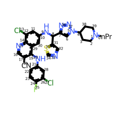 CCCN1CCC(n2cc(C(Nc3cc(Cl)c4ncc(C#N)c(Nc5ccc(F)c(Cl)c5)c4c3)c3cncs3)nn2)CC1